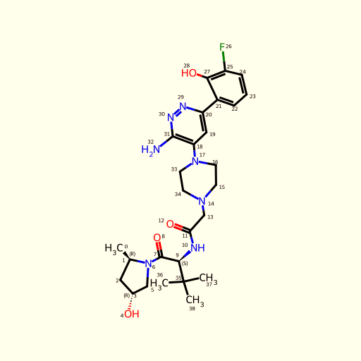 C[C@@H]1C[C@@H](O)CN1C(=O)[C@@H](NC(=O)CN1CCN(c2cc(-c3cccc(F)c3O)nnc2N)CC1)C(C)(C)C